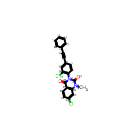 Cn1c(=O)n(-c2ccc(C#Cc3ccccc3)cc2Cl)c(=O)c2ccc(Cl)cc21